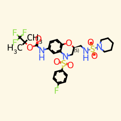 CC(C)(OC(=O)Nc1ccc2c(c1)N(S(=O)(=O)c1ccc(F)cc1)C[C@H](CNS(=O)(=O)N1CCCCC1)O2)C(F)(F)F